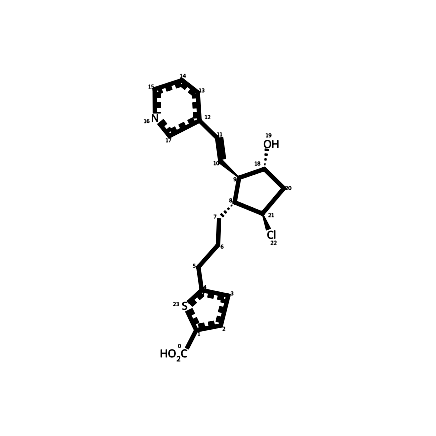 O=C(O)c1ccc(CCC[C@@H]2[C@@H](/C=C/c3cccnc3)[C@H](O)C[C@H]2Cl)s1